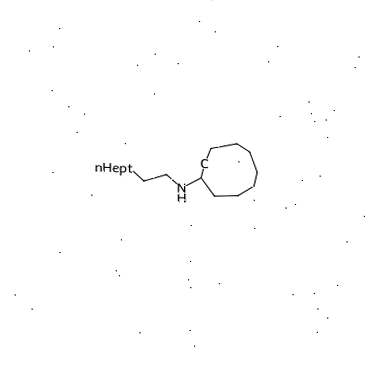 CCCCCCCCCNC1CCCCCCCC1